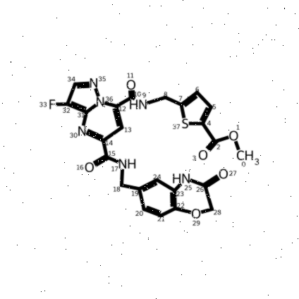 COC(=O)c1ccc(CNC(=O)c2cc(C(=O)NCc3ccc4c(c3)NC(=O)CO4)nc3c(F)cnn23)s1